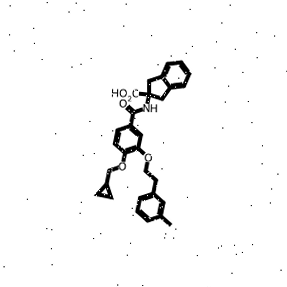 Cc1cccc(CCOc2cc(C(=O)NC3(C(=O)O)Cc4ccccc4C3)ccc2OCC2CC2)c1